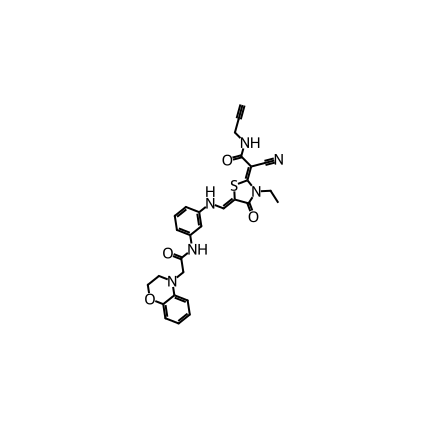 C#CCNC(=O)C(C#N)=c1sc(=CNc2cccc(NC(=O)CN3CCOc4ccccc43)c2)c(=O)n1CC